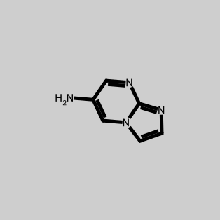 Nc1cnc2nccn2c1